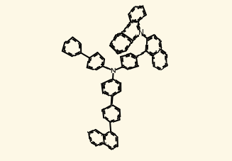 c1ccc(-c2ccc(N(c3ccc(-c4ccc(-c5cccc6ccccc56)cc4)cc3)c3ccc(-c4c(-n5c6ccccc6c6ccccc65)ccc5ccccc45)cc3)cc2)cc1